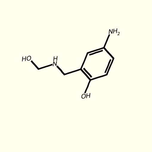 Nc1ccc(O)c(CNCO)c1